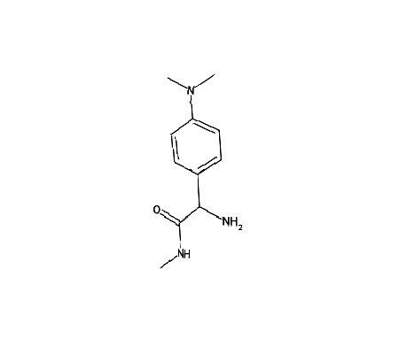 CNC(=O)C(N)c1ccc(N(C)C)cc1